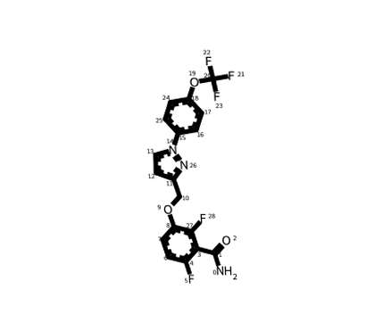 NC(=O)c1c(F)ccc(OCc2ccn(-c3ccc(OC(F)(F)F)cc3)n2)c1F